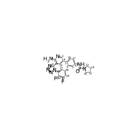 Nc1ncc(-c2ccc(NC(=O)N3CCCC3)cc2)cc1-c1nnnn1-c1cccc(F)c1F